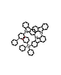 c1ccc(-c2ccc(-n3c4ccccc4c4ccc(-n5c6cc([Si](c7ccccc7)(c7ccccc7)c7ccccc7)ccc6c6cccc(-n7c8ccccc8c8ccccc87)c65)cc43)cc2)cc1